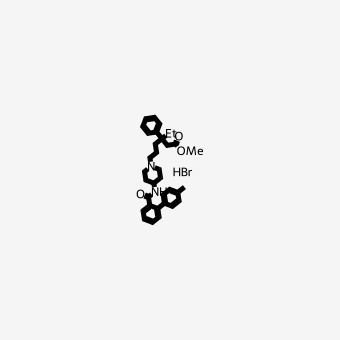 Br.CCC(CCCN1CCC(NC(=O)c2ccccc2-c2ccc(C)cc2)CC1)(CC(=O)OC)c1ccccc1